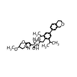 COC1COc2cc(S(=O)(=O)NC(=O)Cc3c(C(C)C)cc(-c4ccc5c(c4)COCC5)cc3C(C)C)nn2C1